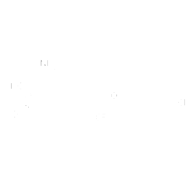 NC(CO)(CCc1ccc(OCC=Cc2cccc(Cl)c2)c(C(F)(F)F)c1)COP=O